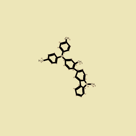 Cc1ccc(N(c2ccc(C)cc2)c2ccc(-c3ccc4c(c3)c3ccccc3n4C)c(C)c2)cc1